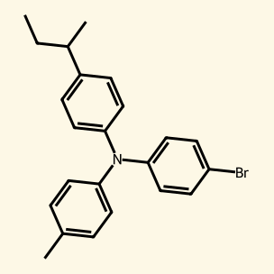 CCC(C)c1ccc(N(c2ccc(C)cc2)c2ccc(Br)cc2)cc1